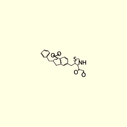 O=CC(=O)C1NCSC1Cc1ccc2c(c1)CC(Cc1ccccc1)S2(=O)=O